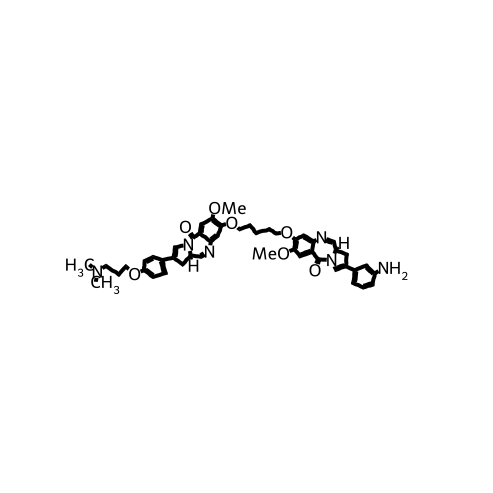 COc1cc2c(cc1OCCCCCOc1cc3c(cc1OC)C(=O)N1C=C(c4cccc(N)c4)C[C@H]1C=N3)N=C[C@@H]1CC(c3ccc(OCCCN(C)C)cc3)=CN1C2=O